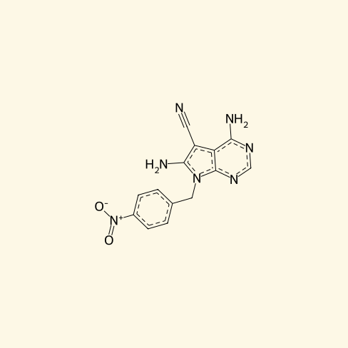 N#Cc1c(N)n(Cc2ccc([N+](=O)[O-])cc2)c2ncnc(N)c12